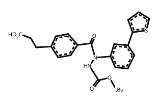 CC(C)(C)OC(=O)NN(C(=O)c1ccc(CCC(=O)O)cc1)c1cccc(-c2cccs2)c1